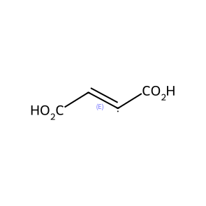 O=C(O)/[C]=C/C(=O)O